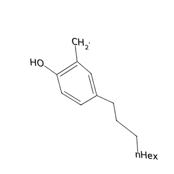 [CH2]c1cc(CCCCCCCCC)ccc1O